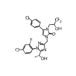 C[C@H](O)c1nc(Cn2cc(-c3ccc(Cl)cc3)n(CC(O)C(F)(F)F)c2=O)nn1-c1ccc(Cl)cc1F